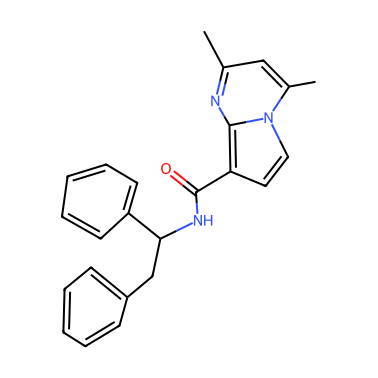 Cc1cc(C)n2ccc(C(=O)NC(Cc3ccccc3)c3ccccc3)c2n1